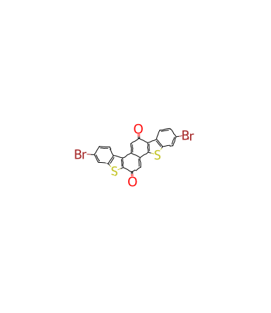 O=C1C=C2C(=CC(=O)c3c2sc2cc(Br)ccc32)c2c1sc1cc(Br)ccc21